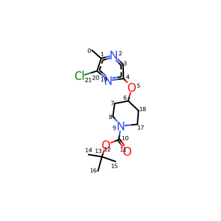 Cc1ncc(OC2CCN(C(=O)OC(C)(C)C)CC2)nc1Cl